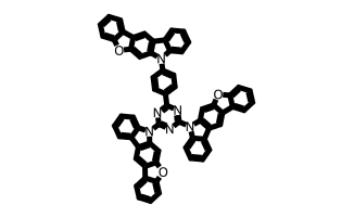 c1ccc2c(c1)oc1cc3c(cc12)c1ccccc1n3-c1ccc(-c2nc(-n3c4ccccc4c4cc5c(cc43)oc3ccccc35)nc(-n3c4ccccc4c4cc5c(cc43)oc3ccccc35)n2)cc1